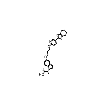 CC(C(=O)O)n1ccc2cc(OCCCOc3ccc(-c4nc5c(s4)CCCC5)cn3)ccc21